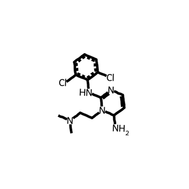 CN(C)CCN1C(Nc2c(Cl)cccc2Cl)=NC=CC1N